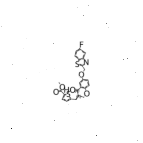 COC(=O)c1ccc(C[C@@H]2COc3ccc(OCc4nc5cc(F)ccc5s4)cc3[C@@H]2O)s1